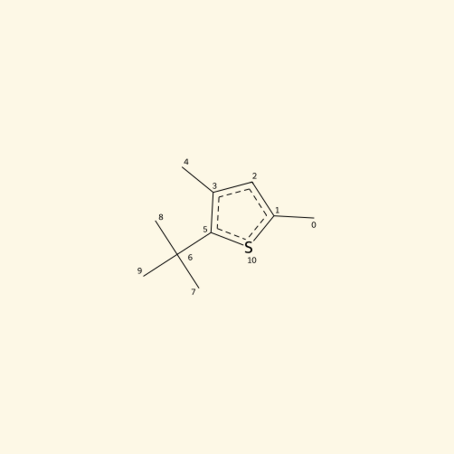 Cc1cc(C)c(C(C)(C)C)s1